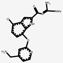 CNC(N)=NC(=O)c1cc2c(Cl)ccc(Oc3cc(CN)ccn3)c2[nH]1